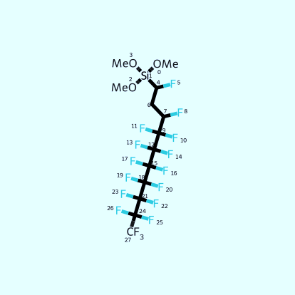 CO[Si](OC)(OC)C(F)CC(F)C(F)(F)C(F)(F)C(F)(F)C(F)(F)C(F)(F)C(F)(F)C(F)(F)F